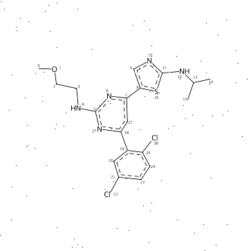 COCCNc1nc(-c2cnc(NC(C)C)s2)cc(-c2cc(Cl)ccc2Cl)n1